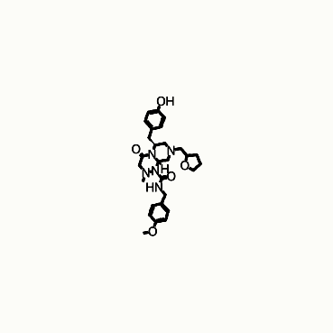 COc1ccc(CNC(=O)N2[C@H]3CN(CC4CCCO4)C[C@H](Cc4ccc(O)cc4)N3C(=O)CN2C)cc1